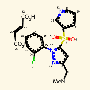 CNCc1cc(S(=O)(=O)c2cccnc2)n(-c2ccccc2Cl)n1.O=C(O)C=CC(=O)O